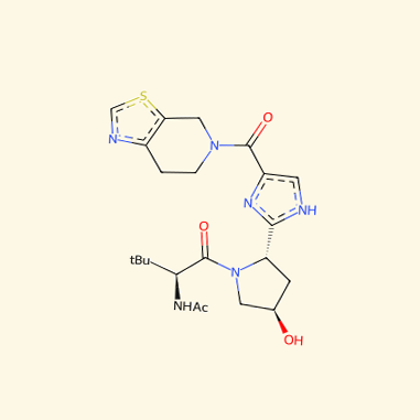 CC(=O)N[C@H](C(=O)N1C[C@H](O)C[C@H]1c1nc(C(=O)N2CCc3ncsc3C2)c[nH]1)C(C)(C)C